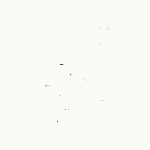 CSCC[C@H](NC(=O)[C@@H](NC(=O)[C@H](CO)NC(=O)[C@@H](N)[C@@H](C)O)[C@@H](C)O)C(=O)NCC(=O)NCC(=O)O